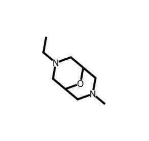 CCN1CC2CN(C)CC(C1)O2